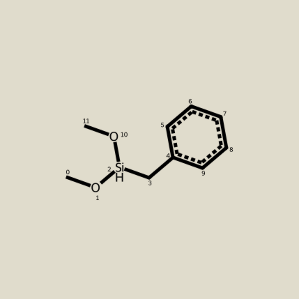 CO[SiH](Cc1ccccc1)OC